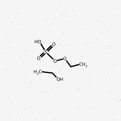 CCO.CCOOS(=O)(=O)O